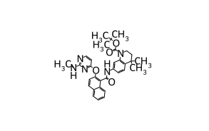 CNc1nccc(Oc2ccc3ccccc3c2C(=O)Nc2ccc3c(c2)N(C(=O)OC(C)(C)C)CCC3(C)C)n1